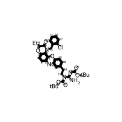 CCC1Oc2ccc([N+](=O)[O-])c(Oc3ccc(CCN(C(=O)OC(C)(C)C)C(N)=NC(=O)OC(C)(C)C)cc3)c2N(Cc2ccccc2Cl)C1=O